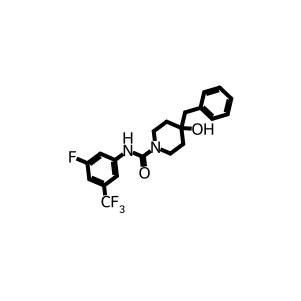 O=C(Nc1cc(F)cc(C(F)(F)F)c1)N1CCC(O)(Cc2ccccc2)CC1